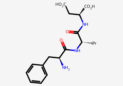 CC(C)[C@H](NC(=O)[C@@H](N)Cc1ccccc1)C(=O)N[C@@H](CC(=O)O)C(=O)O